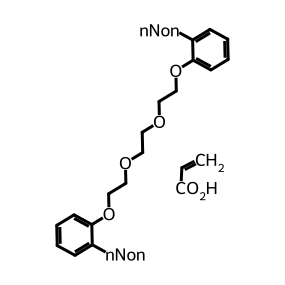 C=CC(=O)O.CCCCCCCCCc1ccccc1OCCOCCOCCOc1ccccc1CCCCCCCCC